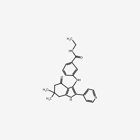 CCNC(=O)c1cccc(Nc2c(-c3ccncc3)[nH]c3c2C(=O)CC(C)(C)C3)c1